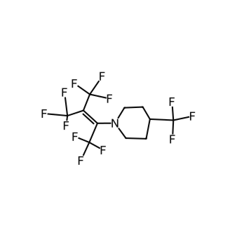 FC(F)(F)C(=C(C(F)(F)F)C(F)(F)F)N1CCC(C(F)(F)F)CC1